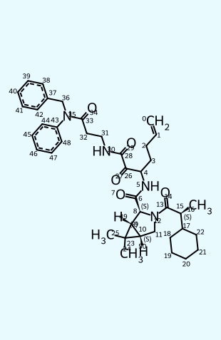 C=CCCC(NC(=O)[C@@H]1[C@@H]2[C@H](CN1C(=O)[C@@H](C)C1CCCCC1)C2(C)C)C(=O)C(=O)NCCC(=O)N(Cc1ccccc1)c1ccccc1